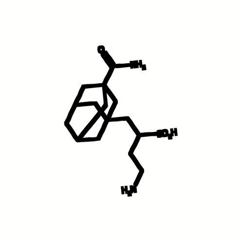 NCCC(CC12CC3CC(C1)CC(C(N)=O)(C3)C2)S(=O)(=O)O